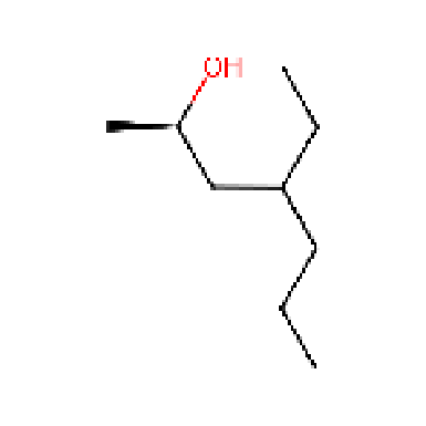 CCCC(CC)C[C@@H](C)O